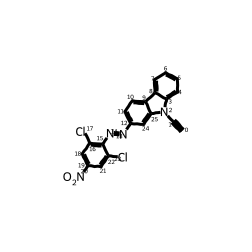 C#Cn1c2ccccc2c2ccc(/N=N/c3c(Cl)cc([N+](=O)[O-])cc3Cl)cc21